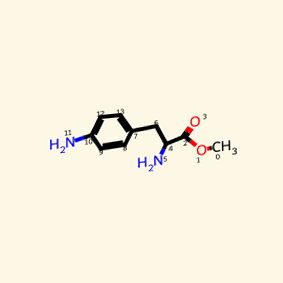 COC(=O)C(N)Cc1ccc(N)cc1